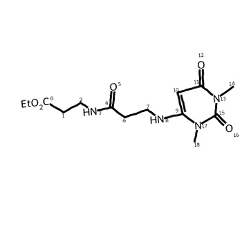 CCOC(=O)CCNC(=O)CCNc1cc(=O)n(C)c(=O)n1C